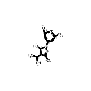 N#CC1=NN(c2cc(C(F)(F)F)nc(C(F)(F)F)c2)C(O)C1C(O)C(F)(F)F